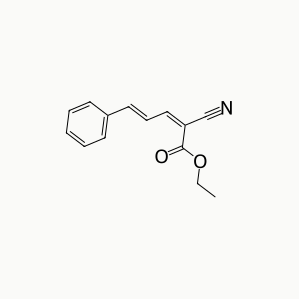 CCOC(=O)C(C#N)=CC=Cc1ccccc1